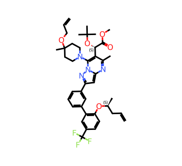 C=CCOC1(C)CCN(c2c([C@H](OC(C)(C)C)C(=O)OC)c(C)nc3cc(-c4cccc(-c5cc(C(F)(F)F)ccc5O[C@@H](C)CC=C)c4)nn23)CC1